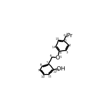 CC(C)c1ccc(OCc2ccccc2O)cc1